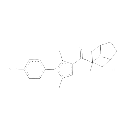 Cc1cc(C(=O)CN2[C@@H]3CC[C@H]2C[C@@](C)(O)C3)c(C)n1-c1ccc(C#N)cc1